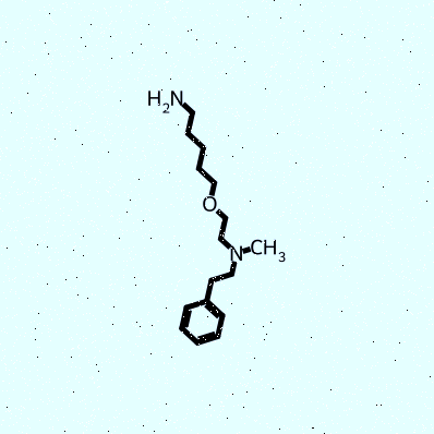 CN(CCOCCCCCN)CCc1ccccc1